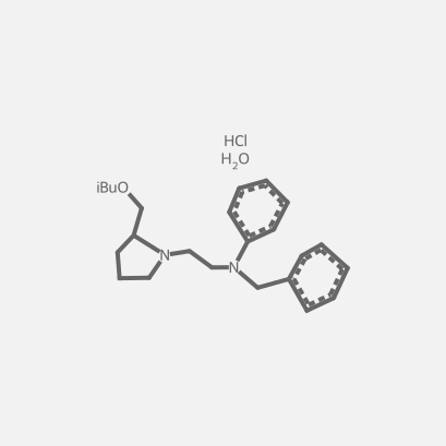 CC(C)COCC1CCCN1CCN(Cc1ccccc1)c1ccccc1.Cl.O